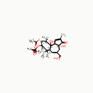 CC(=O)O[C@@H]1[C@@H](C)[C@]2(O)C3C=C(C)C(=O)[C@@]3(O)CC(CO)=C[C@H]2C(C)(C)[C@]1(C)OC(C)=O